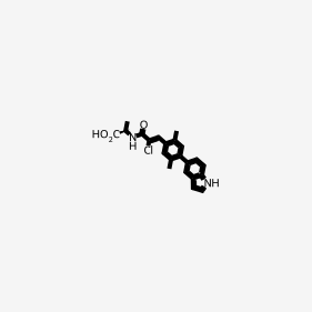 Cc1cc(-c2ccc3[nH]ccc3c2)c(C)cc1/C=C(\Cl)C(=O)N[C@H](C)C(=O)O